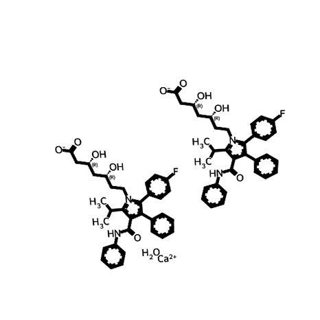 CC(C)c1c(C(=O)Nc2ccccc2)c(-c2ccccc2)c(-c2ccc(F)cc2)n1CC[C@@H](O)C[C@@H](O)CC(=O)[O-].CC(C)c1c(C(=O)Nc2ccccc2)c(-c2ccccc2)c(-c2ccc(F)cc2)n1CC[C@@H](O)C[C@@H](O)CC(=O)[O-].O.[Ca+2]